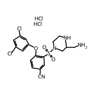 Cl.Cl.N#Cc1ccc(Oc2cc(Cl)cc(Cl)c2)c(S(=O)(=O)N2CCNC(CN)C2)c1